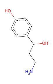 NCCC(O)c1ccc(O)cc1